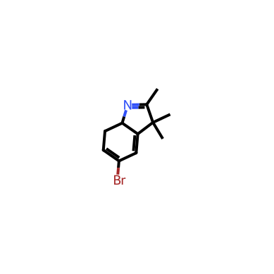 CC1=NC2CC=C(Br)C=C2C1(C)C